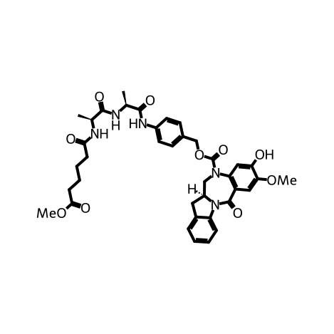 COC(=O)CCCCC(=O)N[C@@H](C)C(=O)N[C@@H](C)C(=O)Nc1ccc(COC(=O)N2C[C@@H]3Cc4ccccc4N3C(=O)c3cc(OC)c(O)cc32)cc1